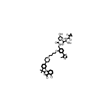 Cc1ncsc1-c1ccc(CNC(=O)[C@@H]2C[C@@H](O)CN2C(=O)[C@@H](NC(=O)C2(F)CC2)C(C)(C)C)c(OCCCCN2CCC(c3ccc4c(c3)-n3c(nc(=O)c5c(Cl)cccc53)C4(C)C)CC2)c1